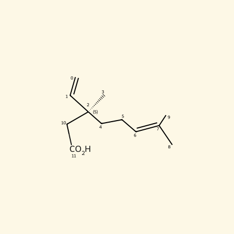 C=C[C@@](C)(CCC=C(C)C)CC(=O)O